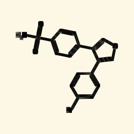 NS(=O)(=O)c1ccc(-c2cocc2-c2ccc(Br)cc2)cc1